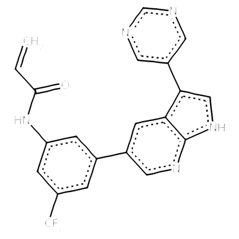 C=CC(=O)Nc1cc(-c2cnc3[nH]cc(-c4cncnc4)c3c2)cc(C(F)(F)F)c1